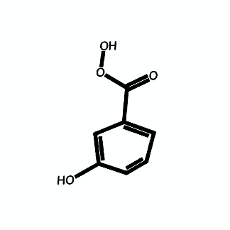 O=C(OO)c1cccc(O)c1